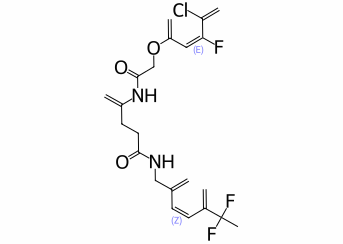 C=C(/C=C\C(=C)C(C)(F)F)CNC(=O)CCC(=C)NC(=O)COC(=C)/C=C(/F)C(=C)Cl